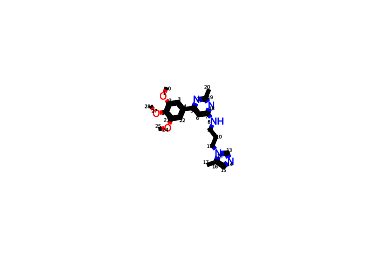 COc1cc(-c2cc(NCCCn3cncc3C)nc(C)n2)cc(OC)c1OC